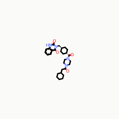 O=C(CC1CCCCC1)N1CCN(C(=O)[C@H]2CC[C@H](Cn3c(=O)[nH]c4ccccc4c3=O)CC2)CC1